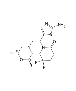 C[C@@H]1CN(CC(c2cnc(N)s2)N2CC(F)(F)CCC2=O)C[C@@H](C)O1